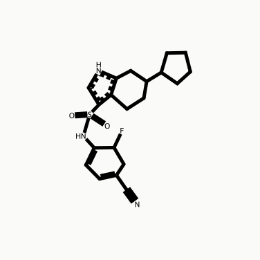 N#CC1=CC=C(NS(=O)(=O)c2c[nH]c3c2CCC(C2CCCC2)C3)C(F)C1